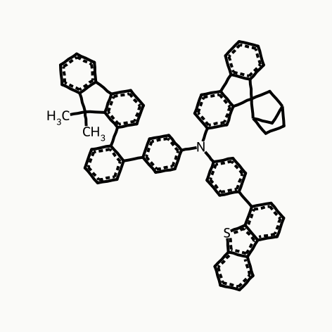 CC1(C)c2ccccc2-c2cccc(-c3ccccc3-c3ccc(N(c4ccc(-c5cccc6c5sc5ccccc56)cc4)c4ccc5c(c4)C4(CC6CCC4C6)c4ccccc4-5)cc3)c21